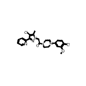 COc1cc(N2CCN(C(=O)Cn3nc(-c4ccccn4)c(Cl)c3C)CC2)ccc1Cl